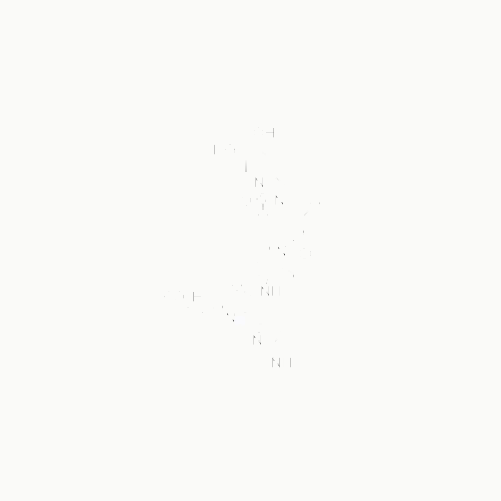 CC(C)(O/N=C(\C(=O)N[C@H]1CON(C2(C(=O)O)CC(N3C=C4C=C(O)C(O)=CN4S3(=O)=O)C(=O)O2)C1=O)c1csc(N)n1)C(=O)O